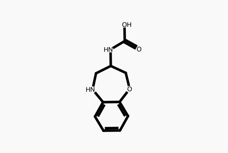 O=C(O)NC1CNc2ccccc2OC1